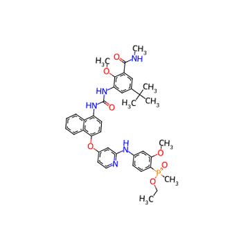 CCOP(C)(=O)c1ccc(Nc2cc(Oc3ccc(NC(=O)Nc4cc(C(C)(C)C)cc(C(=O)NC)c4OC)c4ccccc34)ccn2)cc1OC